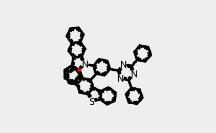 c1ccc(-c2nc(-c3ccccc3)nc(-c3ccc(-n4c5ccccc5c5cc6ccccc6cc54)c(-c4c5ccccc5cc5sc6ccccc6c45)c3)n2)cc1